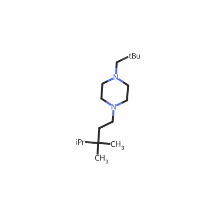 CC(C)C(C)(C)CCN1CCN(CC(C)(C)C)CC1